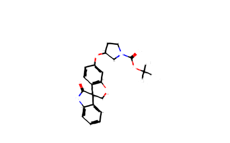 CC(C)(C)OC(=O)N1CCC(Oc2ccc3c(c2)OCC32C(=O)Nc3ccccc32)C1